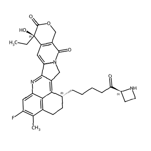 CC[C@]1(O)C(=O)OCc2c1cc1n(c2=O)Cc2c-1nc1cc(F)c(C)c3c1c2[C@H](CCCCC(=O)[C@@H]1CCN1)CC3